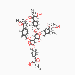 CC(CO)C(=O)c1ccc(COC(=O)CC(C(=O)OCc2ccc(C(=O)C(C)(C)O)cc2)C(CC(=O)OCc2ccc(C(=O)C(C)CO)cc2)C(=O)OCc2ccc(C(=O)C(C)(C)O)cc2)cc1